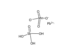 [O]=[Mn](=[O])([O-])[O-].[O]=[Sb]([OH])([OH])[OH].[Pb+2]